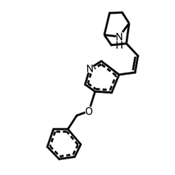 C(=C/C1CC2CCC1N2)/c1cncc(OCc2ccccc2)c1